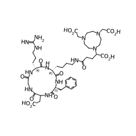 N=C(N)NCCC[C@H]1NC(=O)CNC(=O)C(CC(=O)O)NC(=O)[C@H](Cc2ccccc2)NC(=O)[C@@H](CCCCNC(=O)CCC(C(=O)O)N2CCN(CC(=O)O)CCN(CC(=O)O)CC2)NC1=O